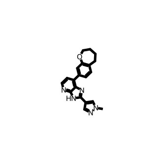 Cn1cc(-c2nc3c(-c4ccc5c(c4)OCCCC5)ccnc3[nH]2)cn1